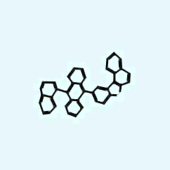 c1ccc2c(-c3c4ccccc4c(-c4ccc5sc6ccc7ccccc7c6c5c4)c4ccccc34)cccc2c1